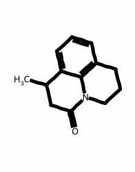 CC1CC(=O)N2CCCc3cccc1c32